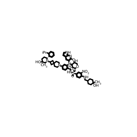 CC(C)c1ccccc1[C@H]1CC[C@](C)(O)CN1C1CC2(CCN(c3ccc(C(=O)NS(=O)(=O)c4ccc(NCC5CCC(C)(O)CC5)c([N+](=O)[O-])c4)c(N4c5cc6cc[nH]c6nc5O[C@H]5COCC[C@@H]54)c3)CC2)C1